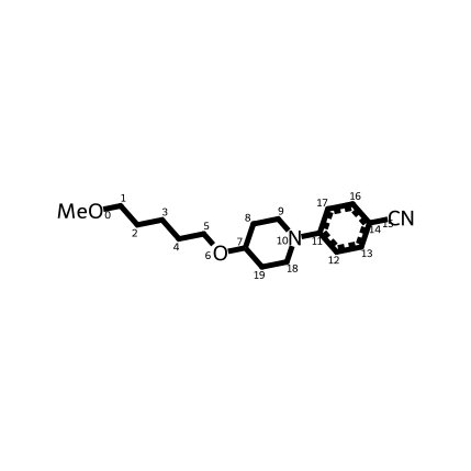 COCCCCCOC1CCN(c2ccc(C#N)cc2)CC1